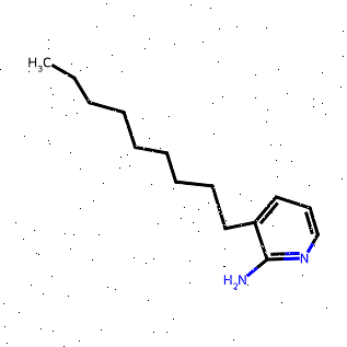 CCCCCCCCCc1cccnc1N